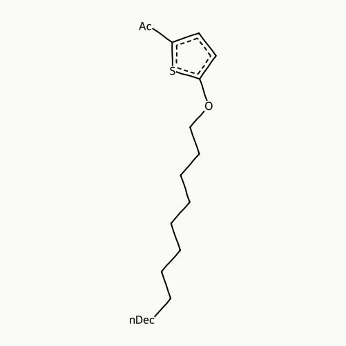 CCCCCCCCCCCCCCCCCCOc1ccc(C(C)=O)s1